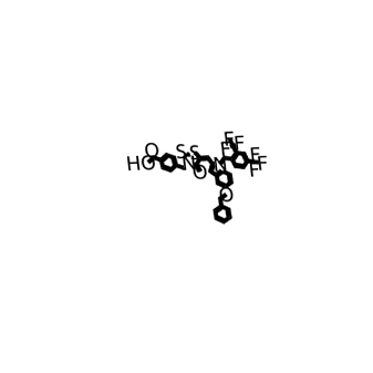 O=C(O)c1ccc(CN2C(=O)C(=Cc3cc4cc(OCc5ccccc5)ccc4n3Cc3ccc(C(F)(F)F)cc3C(F)(F)F)SC2=S)cc1